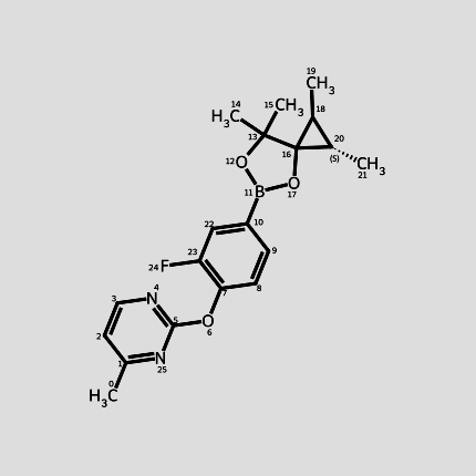 Cc1ccnc(Oc2ccc(B3OC(C)(C)C4(O3)C(C)[C@@H]4C)cc2F)n1